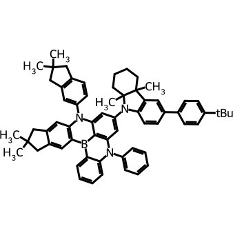 CC1(C)Cc2ccc(N3c4cc5c(cc4B4c6ccccc6N(c6ccccc6)c6cc(N7c8ccc(-c9ccc(C(C)(C)C)cc9)cc8C8(C)CCCCC78C)cc3c64)CC(C)(C)C5)cc2C1